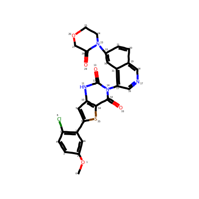 COc1ccc(Cl)c(-c2cc3[nH]c(=O)n(-c4cncc5ccc(N6CCOCC6=O)cc45)c(=O)c3s2)c1